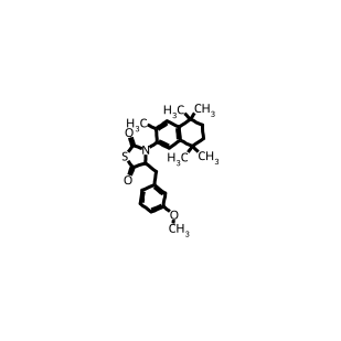 COc1cccc(CC2C(=O)SC(=O)N2c2cc3c(cc2C)C(C)(C)CCC3(C)C)c1